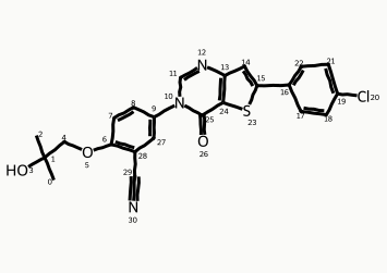 CC(C)(O)COc1ccc(-n2cnc3cc(-c4ccc(Cl)cc4)sc3c2=O)cc1C#N